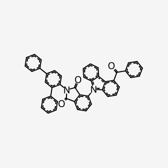 O=C(c1ccccc1)c1cccc2c1c1ccccc1n2-c1cccc2c1C(=O)N(c1ccc(-c3ccccc3)cc1-c1ccccc1)C2=O